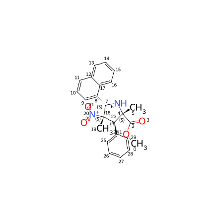 COC(=O)[C@@]1(C)N[C@@H](c2cccc3ccccc23)[C@@](C)([N+](=O)[O-])[C@@H]1c1ccccc1